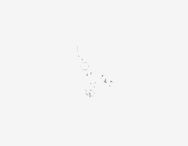 Cc1cc(N2C[C@H](S(=O)(=O)c3ccc(N4CC(F)(F)C4)cc3C(F)(F)F)C[C@@H]2OC(=O)NC2(C#N)CC2)n(C2CCOCC2)n1